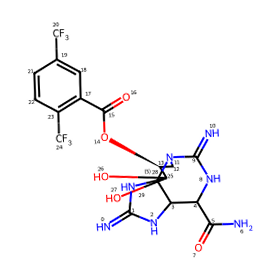 N=C1NC2C(C(N)=O)NC(=N)N3C[C@H](OC(=O)c4cc(C(F)(F)F)ccc4C(F)(F)F)C(O)(O)C23N1